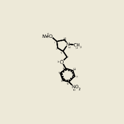 COC1CC(COc2ccc([N+](=O)[O-])cc2)N(C)C1